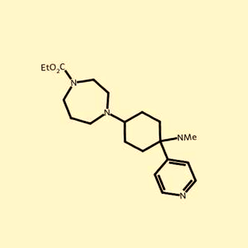 CCOC(=O)N1CCCN(C2CCC(NC)(c3ccncc3)CC2)CC1